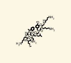 C=CCN(CC(=O)N(CC(=O)NC(CCCCN)C(=O)NC(CCSC)C(N)=O)C(C)c1ccccc1)C(=O)CN(CC(C)C)C(=O)CN(Cc1ccc(OC)cc1)C(=O)CN(CCCCN)C(=O)CNCCCCN